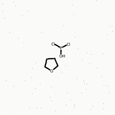 C1CCOC1.OP(Cl)Cl